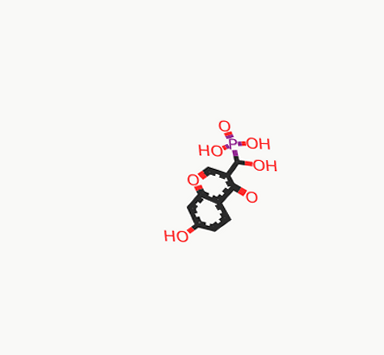 O=c1c(C(O)P(=O)(O)O)coc2cc(O)ccc12